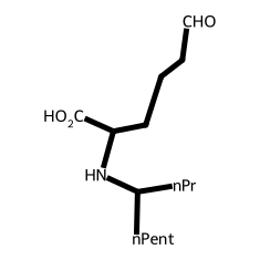 CCCCCC(CCC)NC(CCCC=O)C(=O)O